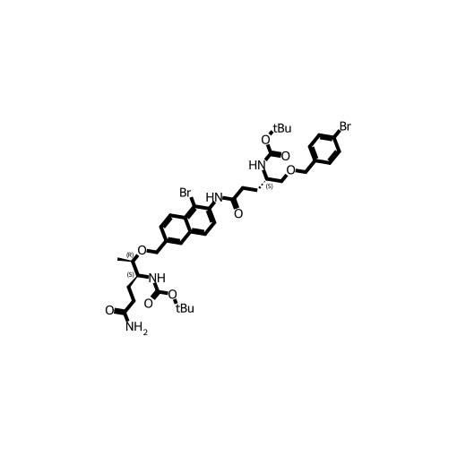 C[C@@H](OCc1ccc2c(Br)c(NC(=O)CC[C@@H](COCc3ccc(Br)cc3)NC(=O)OC(C)(C)C)ccc2c1)[C@H](CCC(N)=O)NC(=O)OC(C)(C)C